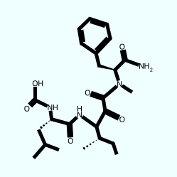 CC[C@H](C)C(NC(=O)[C@H](CC(C)C)NC(=O)O)C(=O)C(=O)N(C)[C@@H](Cc1ccccc1)C(N)=O